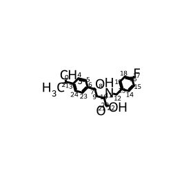 CC(C)c1ccc(C(=O)CC(NCc2ccc(F)cc2)C(=O)O)cc1